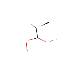 [CH2][C@H](O)C(OCC)OCC